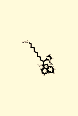 CCCCCCCCCCCCCCCCCCC(c1nccn1C(C)C)C(C)(Cc1ccccc1)c1ccccc1